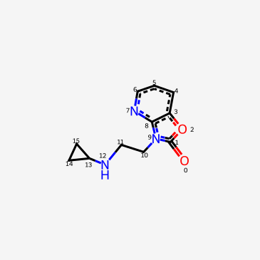 O=c1oc2cccnc2n1CCNC1CC1